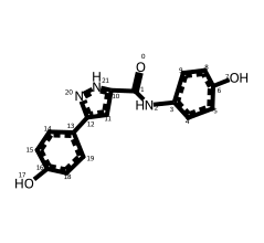 O=C(Nc1ccc(O)cc1)c1cc(-c2ccc(O)cc2)n[nH]1